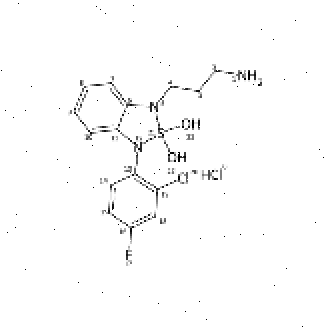 Cl.NCCCN1c2ccccc2N(c2ccc(F)cc2Cl)S1(O)O